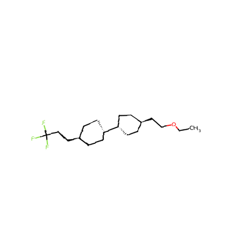 CCOCC[C@H]1CC[C@H]([C@H]2CC[C@H](CCC(F)(F)F)CC2)CC1